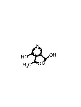 CC(=O)c1c(O)cncc1C(=O)O